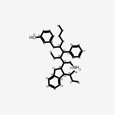 CCCCC(Cc1cccc(O)c1)C(c1ccccc1)C(CC)C(CN)C1Cc2ccccc2C1C(C)CC